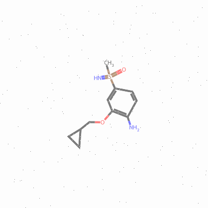 CS(=N)(=O)c1ccc(N)c(OCC2CC2)c1